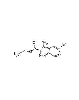 CCOC(=O)c1nnc2ccc(Br)cc2c1N